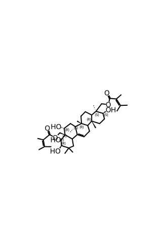 CC(C)=C(C)C(=O)OC[C@@]12C(CC(C)(C)[C@@H](O)[C@@H]1O)C1=CCC3[C@@]4(C)CC[C@H](O)[C@](C)(COC(=O)C(C)=C(C)C)C4CC[C@@]3(C)[C@]1(C)C[C@H]2O